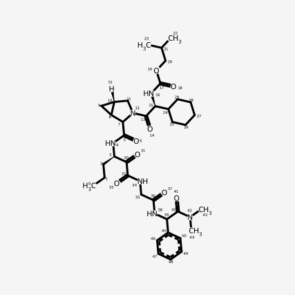 CCC[C@@H](NC(=O)C1C2C[C@@H]2CN1C(=O)[C@@H](NC(=O)OCC(C)C)C1CCCCC1)C(=O)C(=O)NCC(=O)NC(C(=O)N(C)C)c1ccccc1